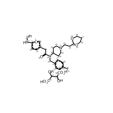 CCCNc1ccc(CC(=O)N(Cc2ccc(F)cc2)C2CCN(CCC3OCCCO3)CC2)cc1.O=C(O)C(O)C(O)C(=O)O